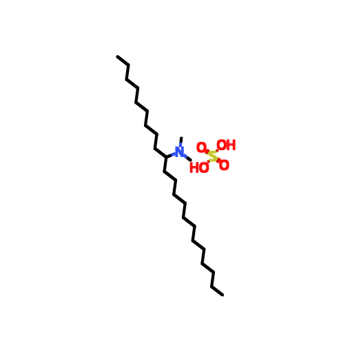 CCCCCCCCCCCCC(CCCCCCCCC)N(C)C.O=S(=O)(O)O